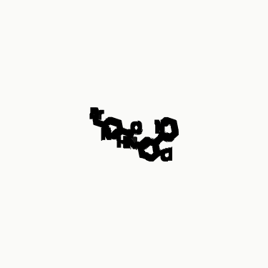 O=C(Nc1ccc(Cl)c(-c2ccccn2)c1)c1ccc(CBr)nc1